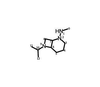 CNN1CCCC2C1CN2C(C)C